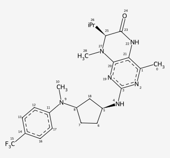 Cc1nc(N[C@H]2CCC(N(C)c3ccc(C(F)(F)F)cc3)C2)nc2c1NC(=O)[C@H](C(C)C)N2C